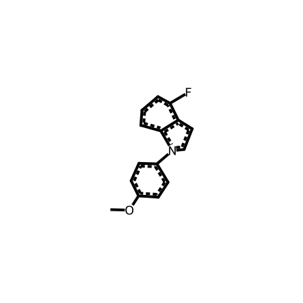 COc1ccc(-n2ccc3c(F)cccc32)cc1